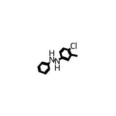 Cc1cc(NNc2ccccc2)ccc1Cl